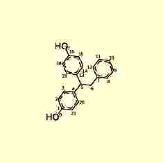 Oc1ccc(C(Cc2ccccc2)c2ccc(O)cc2)cc1